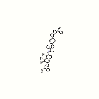 C=CC(=O)COc1cc2ccc(/C=C(\C)C(=O)Oc3ccc(OCOC(=O)C=C)cc3)c(F)c2c(F)c1F